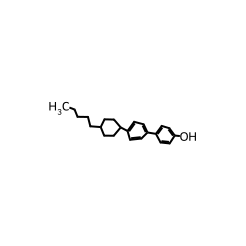 CCCCCC1CCC(c2ccc(-c3ccc(O)cc3)cc2)CC1